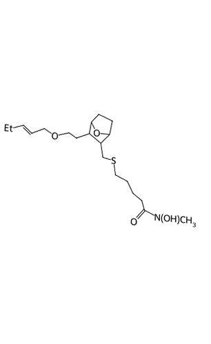 CCC=CCOCCC1C2CCC(O2)C1CSCCCCC(=O)N(C)O